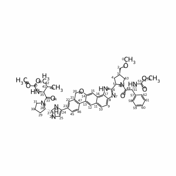 COC[C@@H]1CC(c2nc3ccc4cc5c(cc4c3[nH]2)OCc2cc(-c3cnc([C@@H]4CCCN4C(=O)[C@@H](NC(=O)OC)C(C)C)[nH]3)ccc2-5)N(C(=O)[C@H](NC(=O)OC)c2ccccc2)C1